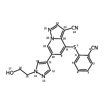 N#Cc1ccccc1Sc1cc(-c2cnn(CCO)c2)cn2ncc(C#N)c12